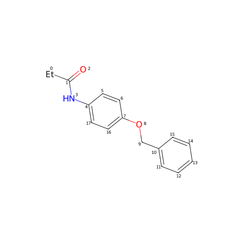 CCC(=O)Nc1ccc(OCc2ccccc2)cc1